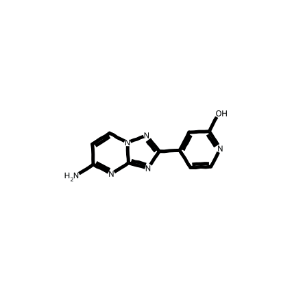 Nc1ccn2nc(-c3ccnc(O)c3)nc2n1